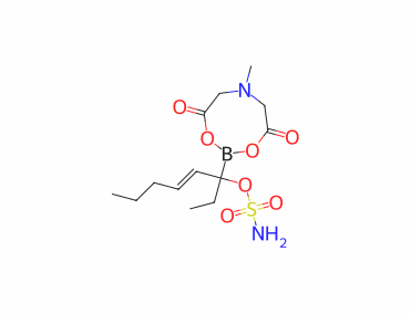 CCC/C=C/C(CC)(OS(N)(=O)=O)B1OC(=O)CN(C)CC(=O)O1